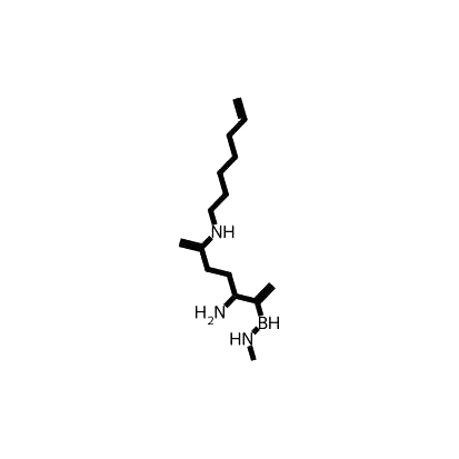 C=CCCCCCNC(=C)CCC(N)C(=C)BNC